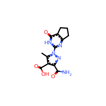 Cc1c(C(=O)O)c(C(N)=O)nn1-c1nc2c(c(=O)[nH]1)CCC2